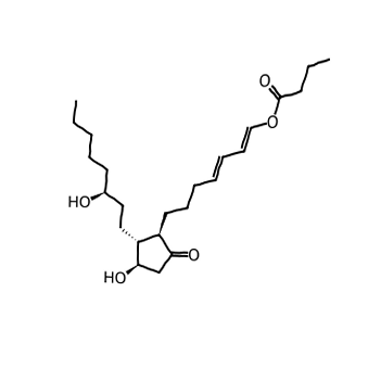 CCCCC[C@H](O)CC[C@H]1[C@H](O)CC(=O)[C@@H]1CCC/C=C/C=C/OC(=O)CCC